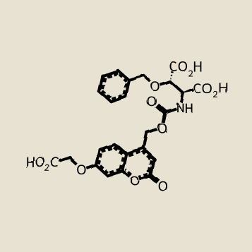 O=C(O)COc1ccc2c(COC(=O)N[C@H](C(=O)O)[C@H](OCc3ccccc3)C(=O)O)cc(=O)oc2c1